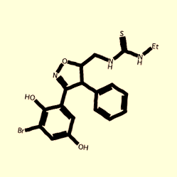 CCNC(=S)NCC1ON=C(c2cc(O)cc(Br)c2O)C1c1ccccc1